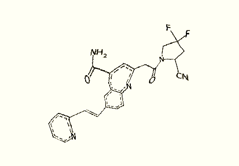 N#CC1CC(F)(F)CN1C(=O)Cc1cc(C(N)=O)c2cc(C=Cc3ccccn3)ccc2n1